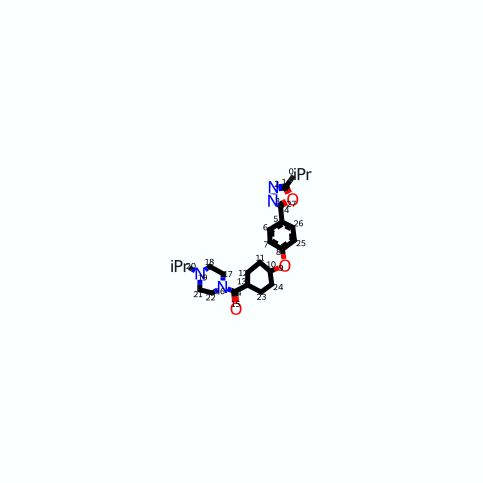 CC(C)c1nnc(-c2ccc(OC3CCC(C(=O)N4CCN(C(C)C)CC4)CC3)cc2)o1